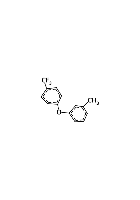 Cc1cccc(Oc2ccc(C(F)(F)F)cc2)c1